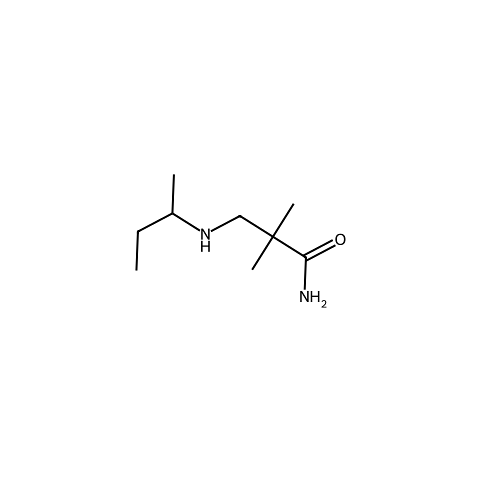 CCC(C)NCC(C)(C)C(N)=O